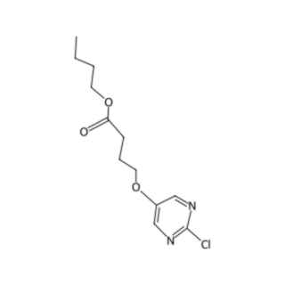 CCCCOC(=O)CCCOc1cnc(Cl)nc1